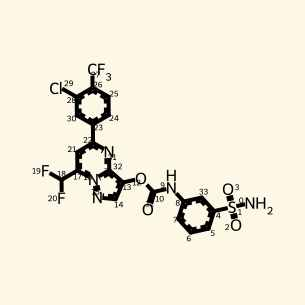 NS(=O)(=O)c1cccc(NC(=O)Oc2cnn3c(C(F)F)cc(-c4ccc(C(F)(F)F)c(Cl)c4)nc23)c1